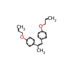 C=CCOc1ccc(C=C(C)c2ccc(OCC=C)cc2)cc1